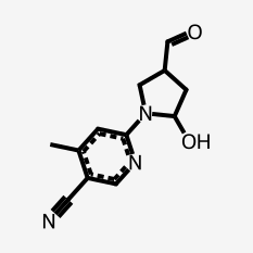 Cc1cc(N2CC(C=O)CC2O)ncc1C#N